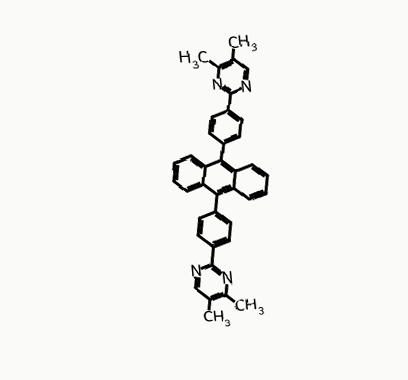 Cc1cnc(-c2ccc(-c3c4ccccc4c(-c4ccc(-c5ncc(C)c(C)n5)cc4)c4ccccc34)cc2)nc1C